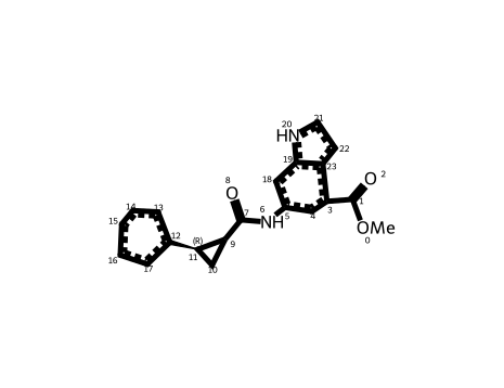 COC(=O)c1cc(NC(=O)C2C[C@H]2c2ccccc2)cc2[nH]ccc12